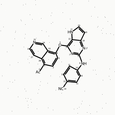 CC(=O)c1ccc(Oc2nc(Nc3ccc(C#N)cc3)nc3cc[nH]c23)c2cnccc12